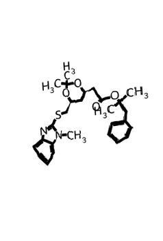 Cn1c(SC[C@@H]2C[C@H](CC(=O)OC(C)(C)Cc3ccccc3)OC(C)(C)O2)nc2ccccc21